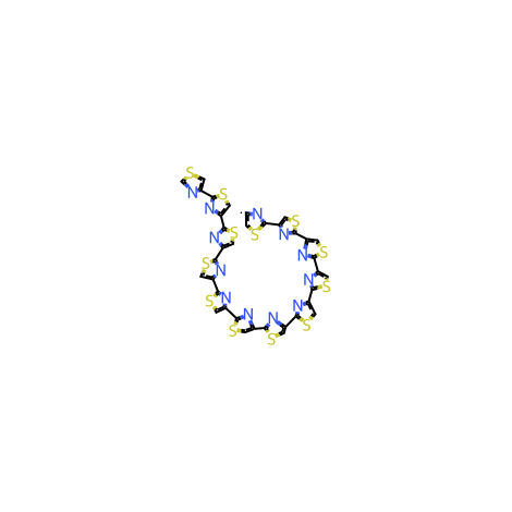 [c]1csc(-c2csc(-c3csc(-c4csc(-c5csc(-c6csc(-c7csc(-c8csc(-c9csc(-c%10csc(-c%11csc(-c%12cscn%12)n%11)n%10)n9)n8)n7)n6)n5)n4)n3)n2)n1